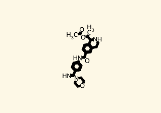 CC(=O)OC(C)C1NCCc2cc(C(=O)Nc3ccc(C(=N)N4CCOCC4)cc3)ccc21